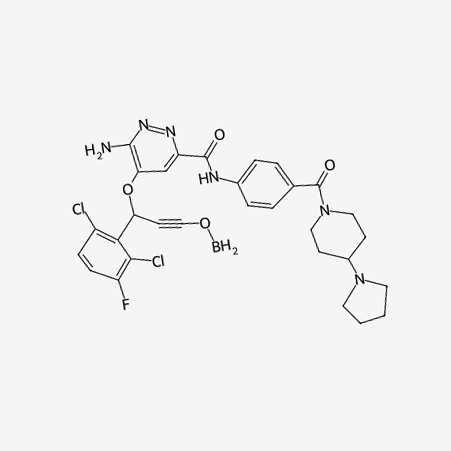 BOC#CC(Oc1cc(C(=O)Nc2ccc(C(=O)N3CCC(N4CCCC4)CC3)cc2)nnc1N)c1c(Cl)ccc(F)c1Cl